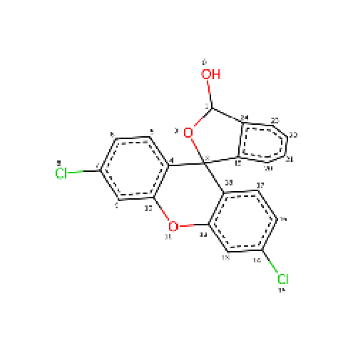 OC1OC2(c3ccc(Cl)cc3Oc3cc(Cl)ccc32)c2ccccc21